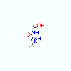 CC(CO)CNC(=O)c1cc(C(C)C)n[nH]1